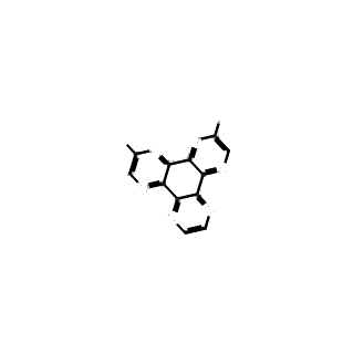 Bc1cnc2c3nccnc3c3ncc(B)nc3c2n1